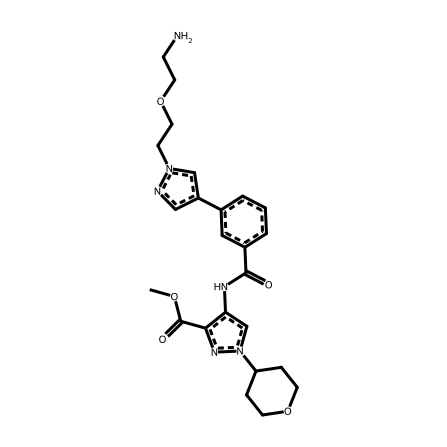 COC(=O)c1nn(C2CCOCC2)cc1NC(=O)c1cccc(-c2cnn(CCOCCN)c2)c1